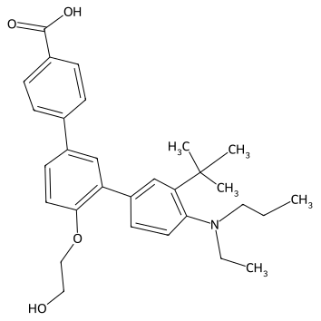 CCCN(CC)c1ccc(-c2cc(-c3ccc(C(=O)O)cc3)ccc2OCCO)cc1C(C)(C)C